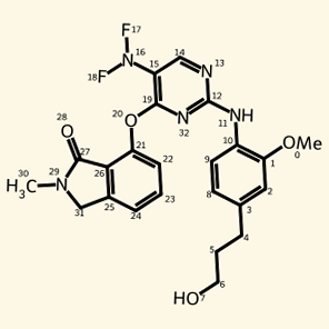 COc1cc(CCCO)ccc1Nc1ncc(N(F)F)c(Oc2cccc3c2C(=O)N(C)C3)n1